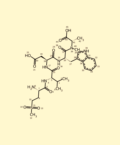 CC(C)[C@H](NC(=O)[C@@H](N)CCS(C)(=O)=O)C(=O)N[C@@H](CC(=O)O)C(=O)N[C@@H](Cc1c[nH]c2ccccc12)C(=O)N(C)[C@@H](C)C(=O)O